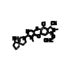 CN1[C@@H](C#N)c2c(ccc(Sc3cnc(N4CCC5(CCCC5N)CC4)n(C)c3=O)c2Cl)N1OC=O